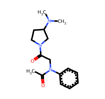 CC(=O)N(CC(=O)N1CCC(N(C)C)C1)c1ccccc1